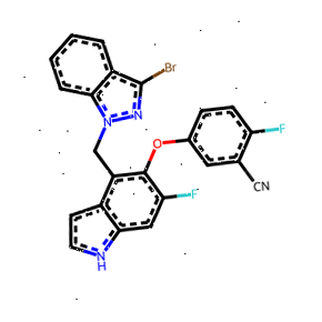 N#Cc1cc(Oc2c(F)cc3[nH]ccc3c2Cn2nc(Br)c3ccccc32)ccc1F